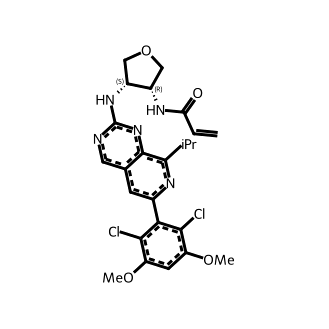 C=CC(=O)N[C@H]1COC[C@H]1Nc1ncc2cc(-c3c(Cl)c(OC)cc(OC)c3Cl)nc(C(C)C)c2n1